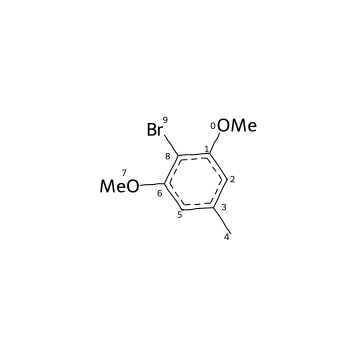 COc1cc(C)cc(OC)c1Br